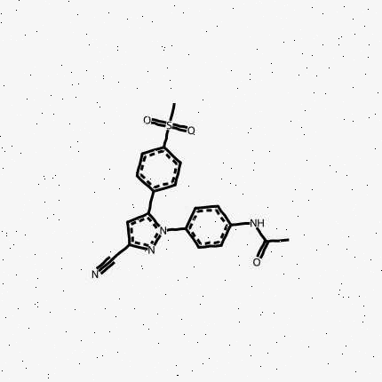 CC(=O)Nc1ccc(-n2nc(C#N)cc2-c2ccc(S(C)(=O)=O)cc2)cc1